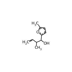 C=CC(C)C(O)c1ccc(C)o1